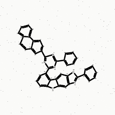 c1ccc(-c2nc(-c3ccc4c(ccc5ccccc54)c3)nc(-c3cccc4oc5cc6nc(-c7ccccc7)oc6cc5c34)n2)cc1